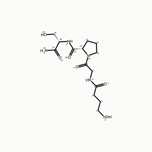 CCCCCCCCCCCCCC(=O)NCC(=O)N1CCC[C@H]1C(=O)N[C@@H](CO)C(N)=O